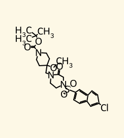 COC1(CN2CCN(S(=O)(=O)c3ccc4cc(Cl)ccc4c3)CC2=O)CCN(C(=O)OC(C)(C)C)CC1